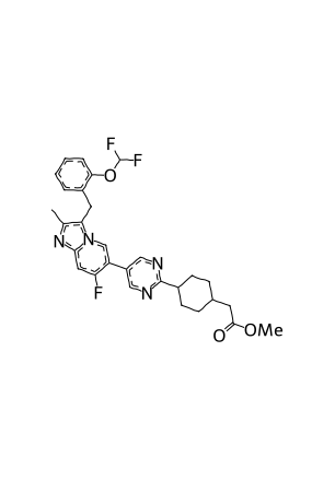 COC(=O)CC1CCC(c2ncc(-c3cn4c(Cc5ccccc5OC(F)F)c(C)nc4cc3F)cn2)CC1